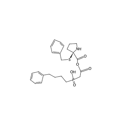 O=C(CP(=O)(O)CCCCc1ccccc1)OC(=O)[C@]1(SCc2ccccc2)CCCN1